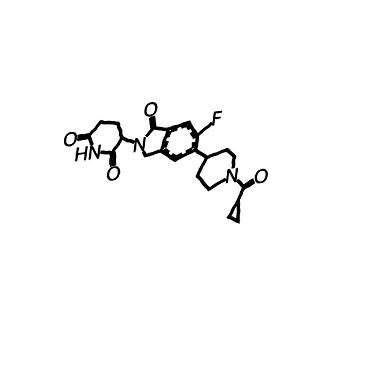 O=C1CCC(N2Cc3cc(C4CCN(C(=O)C5CC5)CC4)c(F)cc3C2=O)C(=O)N1